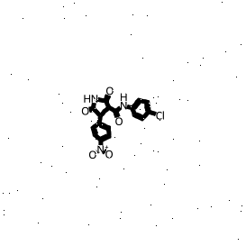 O=C1NC(=O)C(c2ccc([N+](=O)[O-])cc2)C1C(=O)Nc1ccc(Cl)cc1